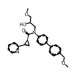 COCc1ccc(-c2ccc(N(CC(O)COC)C(=O)C3CC3c3ccccn3)cc2)cc1